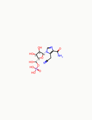 N#CCc1c(C(N)=O)ncn1[C@@H]1O[C@H](C(O)OP(=O)(O)O)[C@@H](O)[C@H]1O